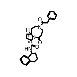 O=C(NC1CCCc2ccccc21)[C@@H]1CC[C@@H]2CCN(C(=O)Cc3ccccc3)CCC(=O)N21